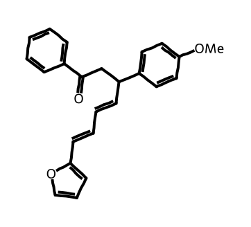 COc1ccc(C(/C=C/C=C/c2ccco2)CC(=O)c2ccccc2)cc1